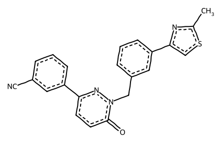 Cc1nc(-c2cccc(Cn3nc(-c4cccc(C#N)c4)ccc3=O)c2)cs1